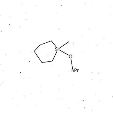 CCCO[Si]1(C)CCCCC1